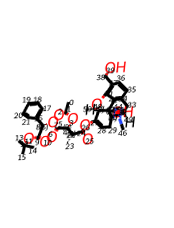 CC(=O)O[C@@H](C(=O)O[C@H](C(=O)OC(C)(C)C)c1ccccc1)[C@@H](C)C(=O)OC1=CC[C@@]2(O)[C@H]3Cc4ccc(CO)c5c4[C@@]2(CCN3C)[C@H]1O5